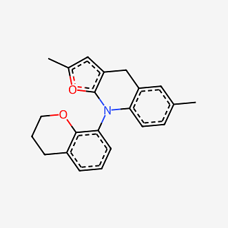 Cc1ccc2c(c1)Cc1cc(C)oc1N2c1cccc2c1OCCC2